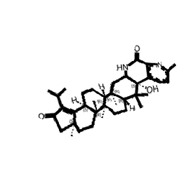 Cc1ccc2c(n1)C(=O)NC1C[C@]3(C)[C@H]4CC[C@@H]5C6=C(C(C)C)C(=O)C[C@]6(C)CC[C@@]5(C)[C@]4(C)CC[C@H]3C(C)(C)[C@]21O